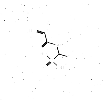 C=CC(=O)NC(CC)P(=O)(O)O